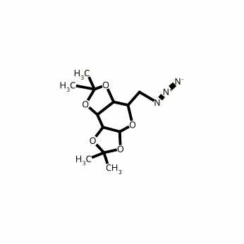 CC1(C)OC2OC(CN=[N+]=[N-])C3OC(C)(C)OC3C2O1